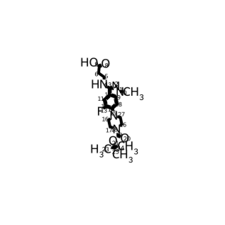 Cn1nc(NCCC(=O)O)c2cc(F)c(N3CCN(C(=O)OC(C)(C)C)CC3)cc21